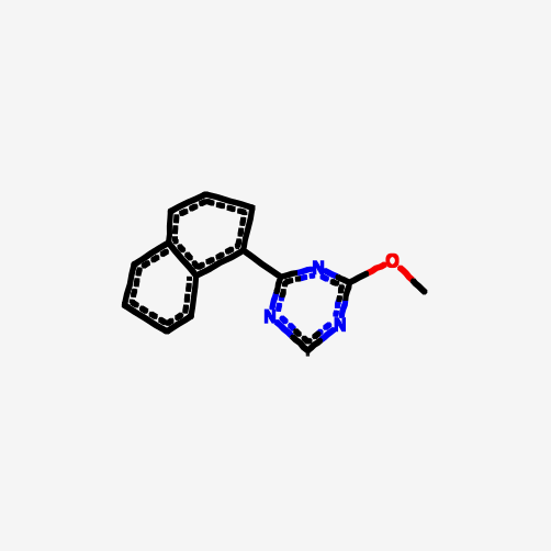 COc1n[c]nc(-c2cccc3ccccc23)n1